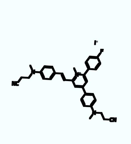 CN(CCC#N)c1ccc(/C=C/c2cc(-c3ccc(N(C)CCC#N)cc3)cc(-c3ccc(F)cc3)[n+]2C)cc1.[I-]